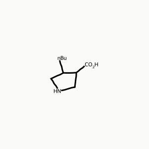 CCCCC1CNCC1C(=O)O